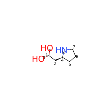 OC(O)C[C@@H]1CCCN1